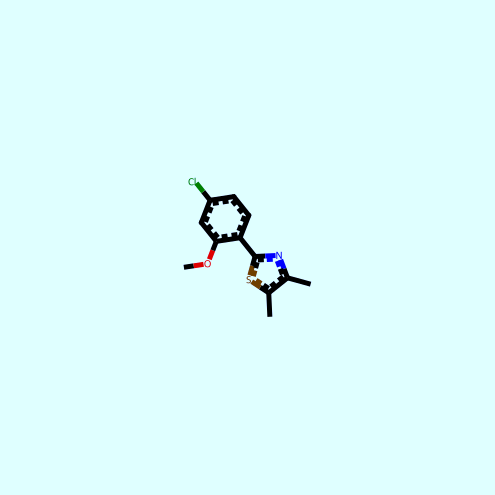 COc1cc(Cl)ccc1-c1nc(C)c(C)s1